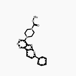 CC(C)(C)OC(=O)N1CCN(c2nnnc3c2sc2nc(-c4ccccc4)ccc23)CC1